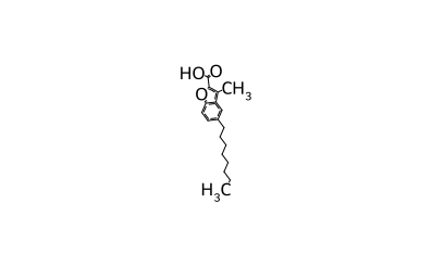 CCCCCCCCc1ccc2oc(C(=O)O)c(C)c2c1